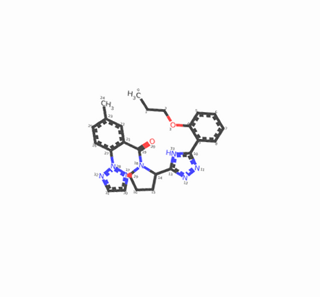 CCCOc1ccccc1-c1nnc(C2CCCN2C(=O)c2cc(C)ccc2-n2nccn2)[nH]1